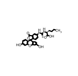 CCCC[C@H](NC(=S)Nc1ccc2c(c1)C(=O)OC21c2ccc(O)cc2Oc2cc(O)ccc21)C(=O)O